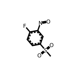 CS(=O)(=O)c1ccc(F)c(N=O)c1